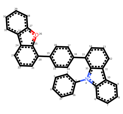 c1ccc(-n2c3ccccc3c3cccc(-c4ccc(-c5cccc6c5oc5ccccc56)cc4)c32)cc1